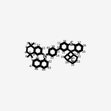 CC1(C)CCC(C)(C)c2cc(N(c3ccc(-c4ccc5c(c4)C4(c6ccccc6S5)C5CC6CC7CC4C75C6)cc3)c3cccc4ccccc34)ccc21